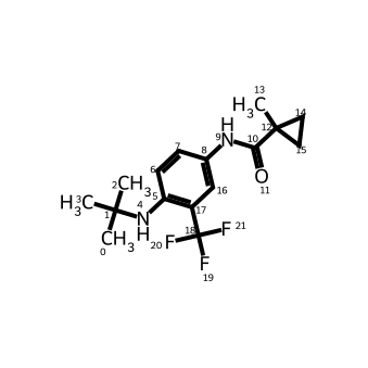 CC(C)(C)Nc1ccc(NC(=O)C2(C)CC2)cc1C(F)(F)F